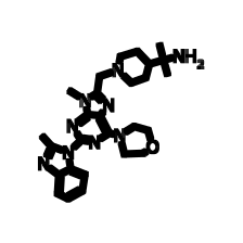 Cc1nc2ccccc2n1-c1nc(N2CCOCC2)c2nc(CN3CCC(C(C)(C)N)CC3)n(C)c2n1